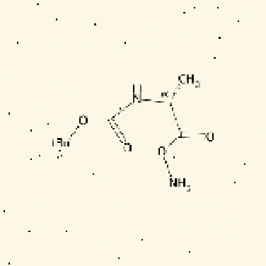 C[C@@H](NC(=O)OC(C)(C)C)C(=O)ON